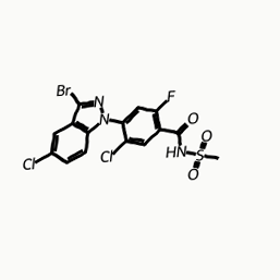 CS(=O)(=O)NC(=O)c1cc(Cl)c(-n2nc(Br)c3cc(Cl)ccc32)cc1F